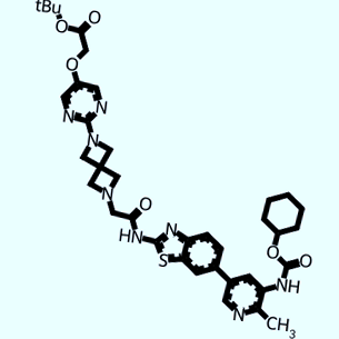 Cc1ncc(-c2ccc3nc(NC(=O)CN4CC5(C4)CN(c4ncc(OCC(=O)OC(C)(C)C)cn4)C5)sc3c2)cc1NC(=O)OC1CCCCC1